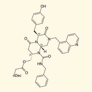 CCCCCCCCCCCC(=O)OC[C@@H]1CC(=O)N2[C@H](CN(Cc3cccc4ncccc34)C(=O)[C@@H]2Cc2ccc(O)cc2)N1C(=O)NCc1ccccc1